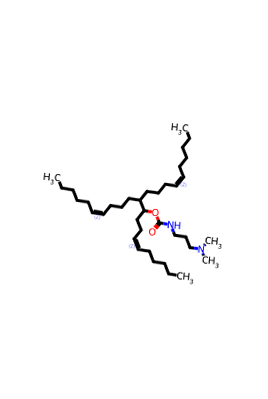 CCCCC/C=C\CCCC(CCC/C=C\CCCCC)C(CC/C=C\CCCCC)OC(=O)NCCCN(C)C